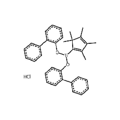 CC1=C(C)C(C)(C)[C]([Ti]([O]c2ccccc2-c2ccccc2)[O]c2ccccc2-c2ccccc2)=C1C.Cl